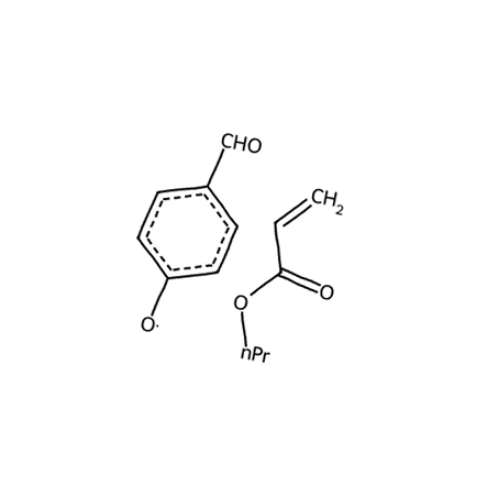 C=CC(=O)OCCC.[O]c1ccc(C=O)cc1